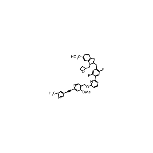 COc1cc(C#Cc2cnn(C)c2)ncc1COc1cccc(-c2cc(F)c(Cc3nc4ccc(C(=O)O)cc4n3CC3CCO3)cc2F)n1